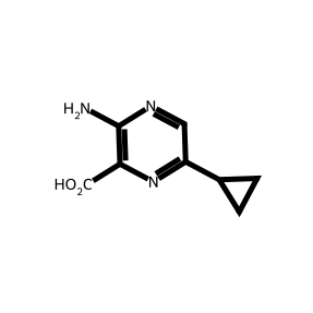 Nc1ncc(C2CC2)nc1C(=O)O